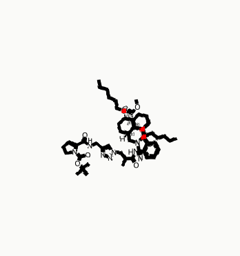 CCCCCCO[C@H]1CC[C@H]2CN(C#N)C(CCCCC)(c3ccccc3NC(=O)C(C)Cn3cc(CNC(=O)C4=CCCN4C(=O)OC(C)(C)C)nn3)C[C@@]23C(C)CCC[C@]13C(=O)OC